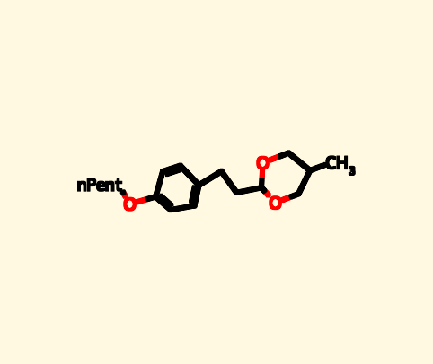 CCCCCOc1ccc(CCC2OCC(C)CO2)cc1